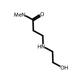 CNC(=O)CCNCCO